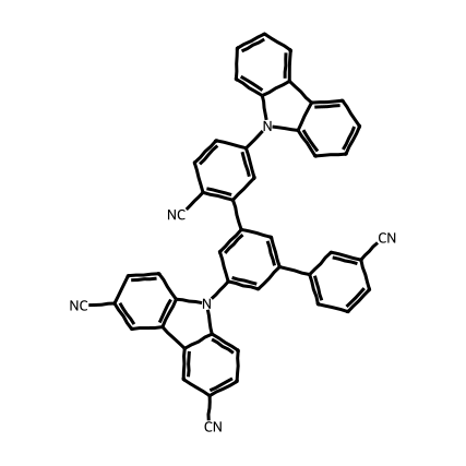 N#Cc1cccc(-c2cc(-c3cc(-n4c5ccccc5c5ccccc54)ccc3C#N)cc(-n3c4ccc(C#N)cc4c4cc(C#N)ccc43)c2)c1